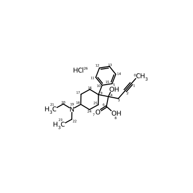 CC#CCC(O)(C(=O)O)C1(c2ccccc2)CCC(N(CC)CC)CC1.Cl